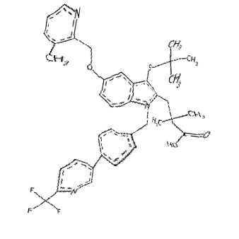 Cc1cccnc1COc1ccc2c(c1)c(SC(C)(C)C)c(CC(C)(C)C(=O)O)n2Cc1ccc(-c2ccc(C(F)(F)F)nc2)cc1